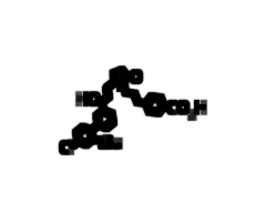 CC(C)(C)c1cc(Cl)ccc1-c1cccc(C(O)/C=C/C2CCC(=O)N2CCCc2ccc(C(=O)O)cc2)c1